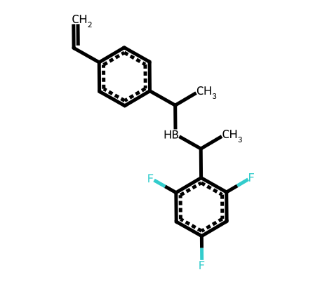 C=Cc1ccc(C(C)BC(C)c2c(F)cc(F)cc2F)cc1